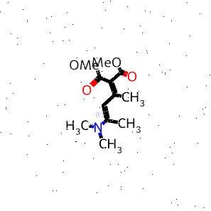 COC(=O)C(C(=O)OC)=C(C)/C=C(\C)N(C)C